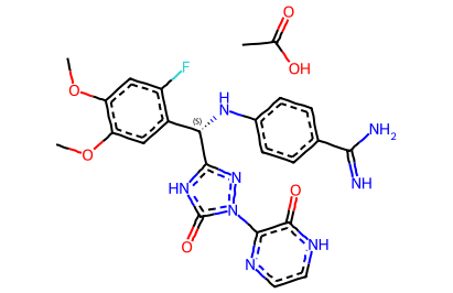 CC(=O)O.COc1cc(F)c([C@H](Nc2ccc(C(=N)N)cc2)c2nn(-c3ncc[nH]c3=O)c(=O)[nH]2)cc1OC